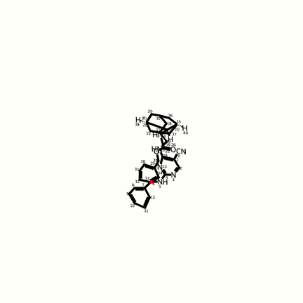 N#Cc1cnc(NCc2ccccc2)nc1NC[C@]12CC3C[C@H](C1)[C@@H](NC(=O)OCc1ccccc1)[C@@H](C3)C2